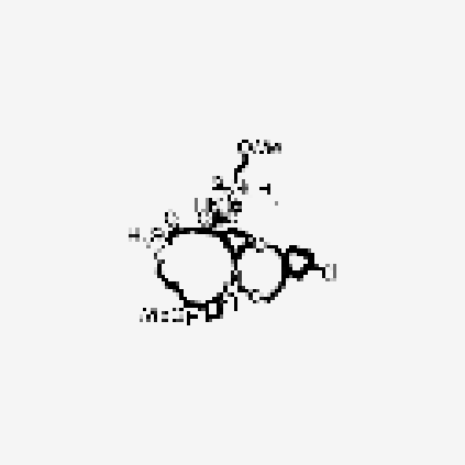 COCCN(C)S(=O)(=O)NC(=O)[C@@]1(O)CC(=O)N(C)CC/C=C/[C@H](OC)[C@@H]2CC[C@H]2CN2CCCCc3cc(Cl)ccc3COc3ccc1cc32